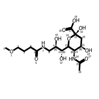 COCCCC(=O)NC[C@@H](O)[C@@H](O)C1O[C@](O)(C(=O)O)C[C@@H](O)[C@H]1NC(C)=O